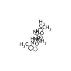 Cc1ccc2c(c1NC(=O)N=[S@@](N)(=O)c1cnn3c1OCC(C)(C)C3)CCC2